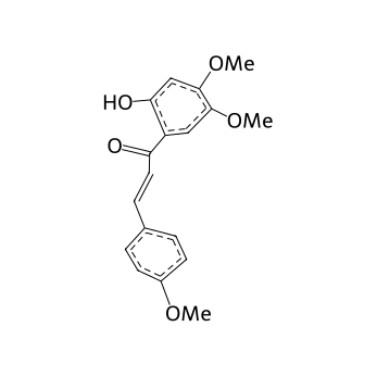 COc1ccc(/C=C/C(=O)c2cc(OC)c(OC)cc2O)cc1